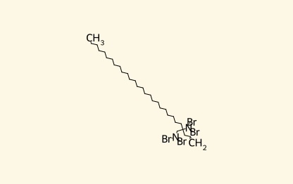 C=CCC(CCCCCCCCCCCCCCCCCCCCCCCCC)(CN(Br)Br)N(Br)Br